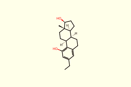 CCc1cc(O)c2c(c1)CC[C@H]1[C@@H]2CC[C@]2(C)[C@@H](O)CC[C@@H]12